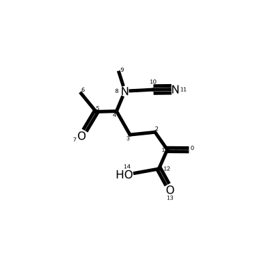 C=C(CCC(C(C)=O)N(C)C#N)C(=O)O